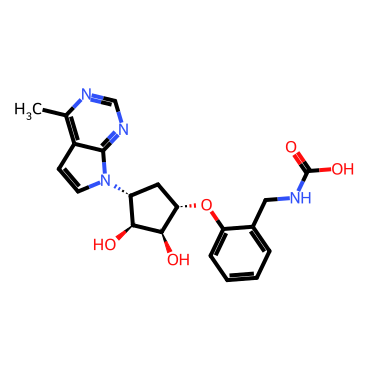 Cc1ncnc2c1ccn2[C@@H]1C[C@H](Oc2ccccc2CNC(=O)O)[C@@H](O)[C@H]1O